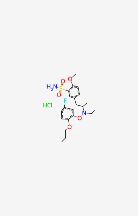 CCCOc1ccc(F)cc1ON(CC)C(C)Cc1ccc(OC)c(S(N)(=O)=O)c1.Cl